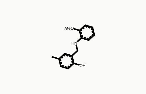 COc1ccccc1NCc1cc(C)ccc1O